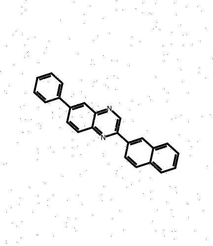 c1ccc(-c2ccc3nc(-c4ccc5ccccc5c4)cnc3c2)cc1